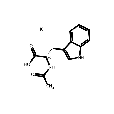 CC(=O)N[C@@H](Cc1c[nH]c2ccccc12)C(=O)O.[K]